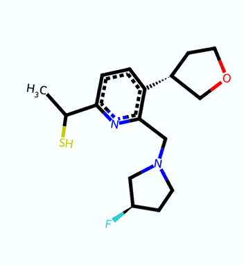 CC(S)c1ccc([C@@H]2CCOC2)c(CN2CC[C@@H](F)C2)n1